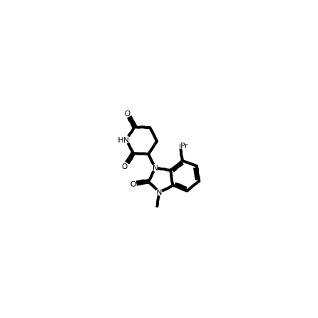 CC(C)c1cccc2c1n(C1CCC(=O)NC1=O)c(=O)n2C